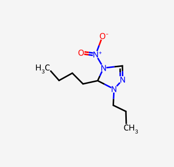 CCCCC1N(CCC)N=CN1[N+](=O)[O-]